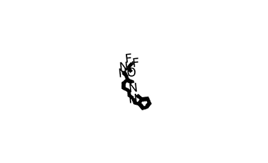 FC(F)c1nnc(-c2ccc(CN3Cc4ccccc4C3)nc2)o1